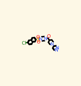 O=C(C1CCN(c2ccnnc2)CC1)N1CCN(S(=O)(=O)c2ccc3cc(Cl)ccc3c2)CC1